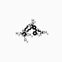 CCCCc1nc2c(N)nc(C)c(C)c2n1CCCCc1cc(C(OCCN(C)C)c2ccccc2)ccc1C(N)=O